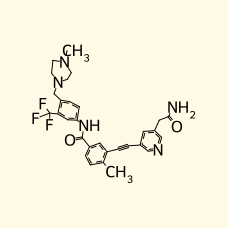 Cc1ccc(C(=O)Nc2ccc(CN3CCN(C)CC3)c(C(F)(F)F)c2)cc1C#Cc1cncc(CC(N)=O)c1